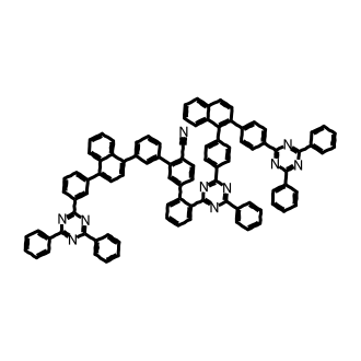 N#Cc1ccc(-c2ccccc2-c2nc(-c3ccccc3)nc(-c3ccc(-c4c(-c5ccc(-c6nc(-c7ccccc7)nc(-c7ccccc7)n6)cc5)ccc5ccccc45)cc3)n2)cc1-c1cccc(-c2ccc(-c3cccc(-c4nc(-c5ccccc5)nc(-c5ccccc5)n4)c3)c3ccccc23)c1